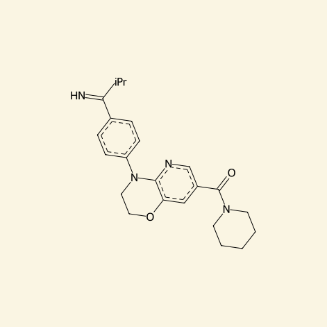 CC(C)C(=N)c1ccc(N2CCOc3cc(C(=O)N4CCCCC4)cnc32)cc1